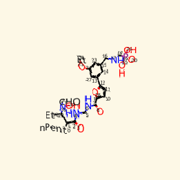 CCCCCC(C(=O)NCNC(=O)c1ccc(-c2cc(CNCP(=O)(O)O)cc(OCC)c2)o1)[C@@H](CC)N(O)C=O